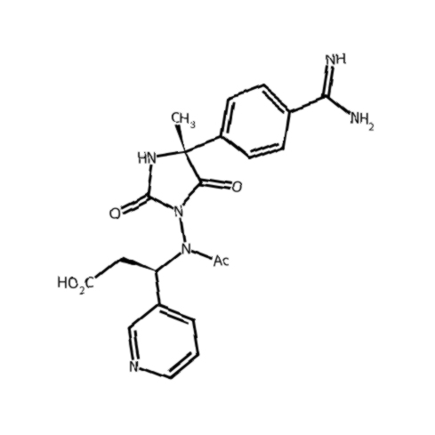 CC(=O)N([C@H](CC(=O)O)c1cccnc1)N1C(=O)N[C@](C)(c2ccc(C(=N)N)cc2)C1=O